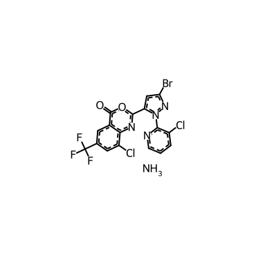 N.O=c1oc(-c2cc(Br)nn2-c2ncccc2Cl)nc2c(Cl)cc(C(F)(F)F)cc12